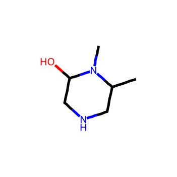 CC1CNCC(O)N1C